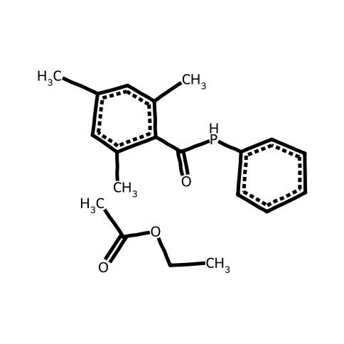 CCOC(C)=O.Cc1cc(C)c(C(=O)Pc2ccccc2)c(C)c1